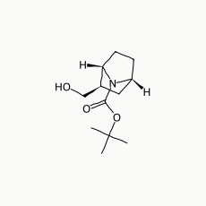 CC(C)(C)OC(=O)N1[C@@H]2CC[C@H]1[C@H](CO)C2